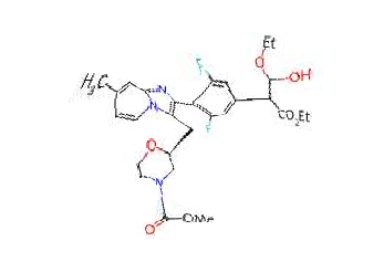 CCOC(=O)C(c1cc(F)c(-c2nc3cc(C)ccn3c2C[C@H]2CN(C(=O)OC)CCO2)c(F)c1)C(O)OCC